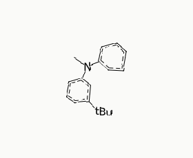 CN(c1ccccc1)c1cccc(C(C)(C)C)c1